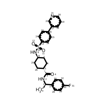 C[C@@H](NC(=O)[C@H]1CC[C@H](NS(=O)(=O)c2ccc(-c3cccnc3)cc2)CC1)c1ccc(F)cc1